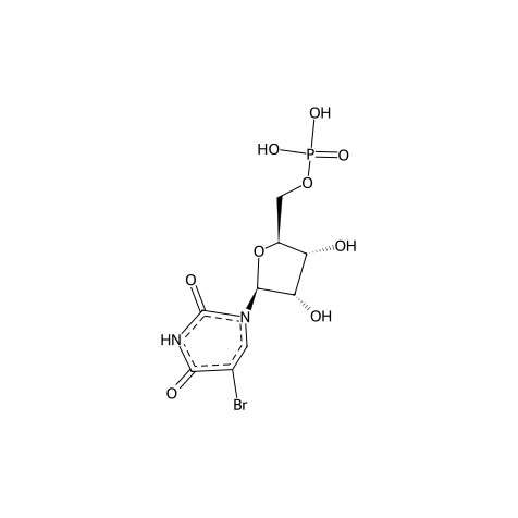 O=c1[nH]c(=O)n([C@H]2O[C@@H](COP(=O)(O)O)[C@H](O)[C@@H]2O)cc1Br